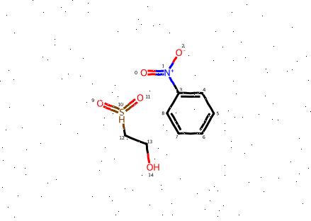 O=[N+]([O-])c1ccccc1.O=[SH](=O)CCO